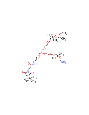 COC(C)COC(C)(C)CCOCCOCC(COCCCNC(=O)CCN1C(=O)CC(C(C)(C)C)C1=O)OCCOCCC(C)(C)OCN